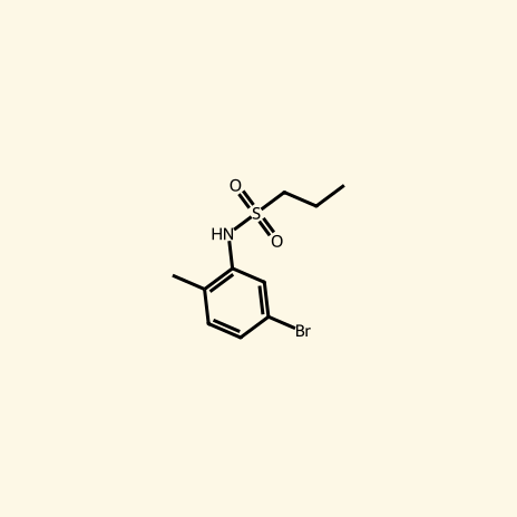 CCCS(=O)(=O)Nc1cc(Br)ccc1C